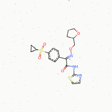 O=C(Nc1nccs1)/C(=N/OCC1CCCO1)c1ccc(S(=O)(=O)C2CC2)cc1